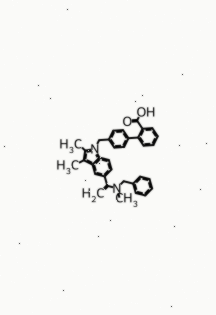 C=C(c1ccc2c(c1)c(C)c(C)n2Cc1ccc(-c2ccccc2C(=O)O)cc1)N(C)Cc1ccccc1